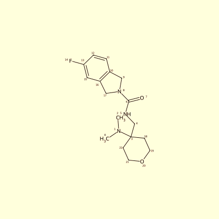 CN(C)C1(CNC(=O)N2Cc3ccc(F)cc3C2)CCOCC1